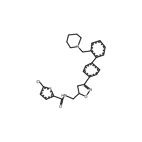 O=C(NCC1CC(c2ccc(-c3ccccc3CN3CCCCC3)cc2)=NO1)c1ccc(Cl)s1